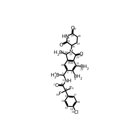 Bc1c(C(B)NC(=O)C(F)(F)c2ccc(Cl)cc2)cc2c(c1B)C(=O)N(C1CCC(=O)NC1=O)C2B